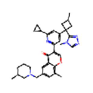 Cc1cc(CN2CCC[C@H](C)C2)cc2c(=O)c(-c3cc(C4(c5nncn5C)CC(C)C4)cc(C4CC4)n3)coc12